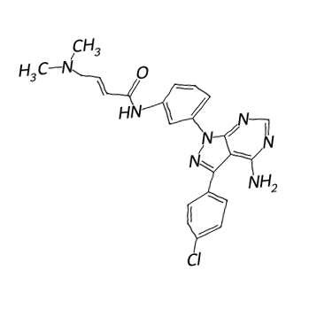 CN(C)CC=CC(=O)Nc1cccc(-n2nc(-c3ccc(Cl)cc3)c3c(N)ncnc32)c1